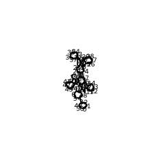 c1ccc(-c2cccc(-n3c4ccccc4c4cc(-c5ccc6c(c5)c5ccccc5n6-c5ccccc5)c5sc6ccccc6c5c43)c2)cc1